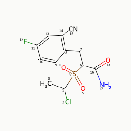 CC(Cl)S(=O)(=O)C(Cc1c[c]c(F)cc1C#N)C(N)=O